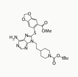 COC(=O)c1cc2c(cc1Sc1nc3c(N)ncnc3n1CCC1CCN(C(=O)OC(C)(C)C)CC1)OCO2